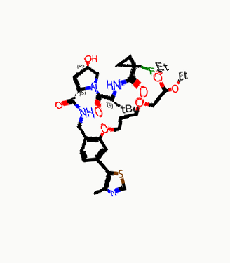 CCOC(COCCCOc1cc(-c2scnc2C)ccc1CNC(=O)[C@@H]1C[C@@H](O)CN1C(=O)[C@@H](NC(=O)C1(F)CC1)C(C)(C)C)OCC